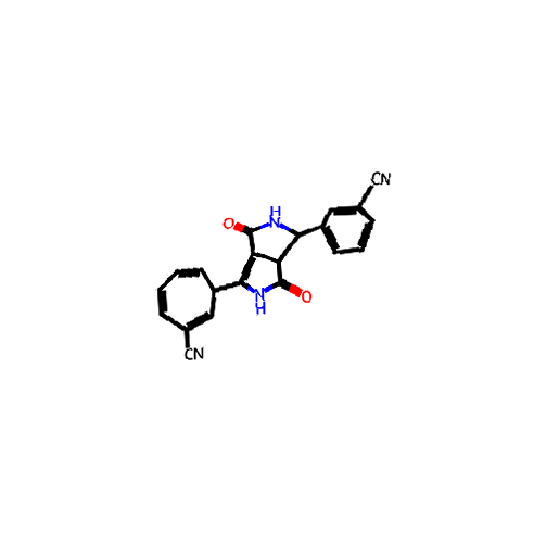 N#CC1=CC(C2=C3C(=O)NC(c4cccc(C#N)c4)C3C(=O)N2)C=CC=C1